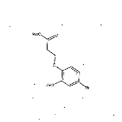 COC(=O)CCOc1ccc(Br)cc1OC